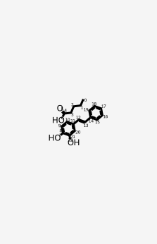 CCCCC(=O)O.Oc1ccc(C=Cc2ccccc2)cc1O